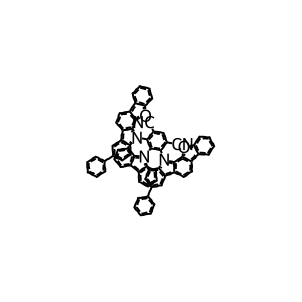 N#Cc1cc(C#N)c(-n2c3ccc(-c4ccccc4)cc3c3ccc4c5ccccc5oc4c32)c(-n2c3ccccc3c3ccccc32)c1-n1c2ccc(-c3ccccc3)cc2c2ccc3c4ccccc4oc3c21